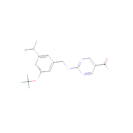 CC(C)c1cc(CNc2ncc(C(=O)O)cn2)cc(OC(F)(F)F)c1